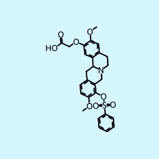 COc1cc2c(cc1OCC(=O)O)C1Cc3ccc(OC)c(OS(=O)(=O)c4ccccc4)c3CN1CC2